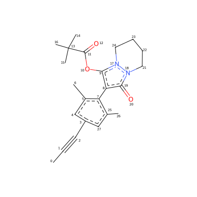 CC#Cc1cc(C)c(-c2c(OC(=O)C(C)(C)C)n3n(c2=O)CCCC3)c(C)c1